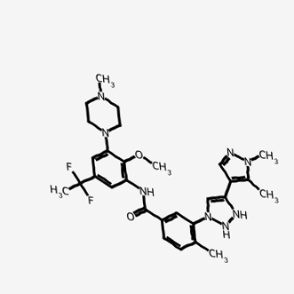 COc1c(NC(=O)c2ccc(C)c(N3C=C(c4cnn(C)c4C)NN3)c2)cc(C(C)(F)F)cc1N1CCN(C)CC1